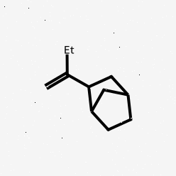 C=C(CC)C1CC2CCC1C2